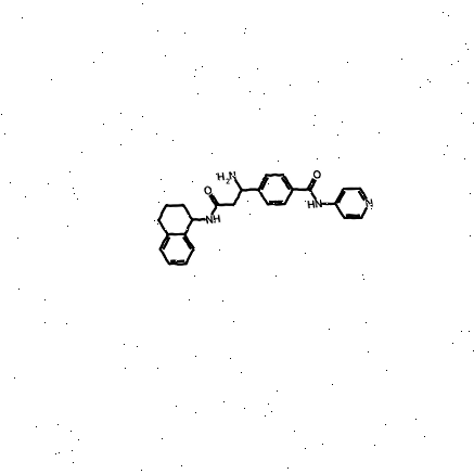 NC(CC(=O)NC1CCCc2ccccc21)c1ccc(C(=O)Nc2ccncc2)cc1